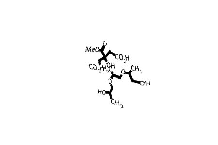 CC(O)COC(C)COC(C)CO.COC(=O)C(O)(CC(=O)O)CC(=O)O